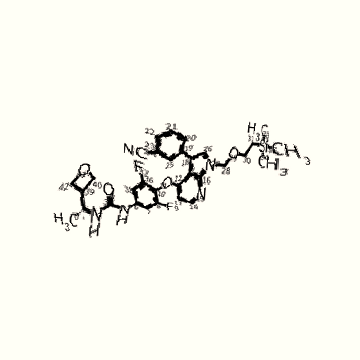 C[C@@H](NC(=O)Nc1cc(F)c(Oc2ccnc3c2c(-c2cccc(C#N)c2)cn3COCC[Si](C)(C)C)c(F)c1)C1COC1